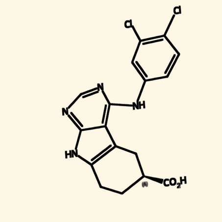 O=C(O)[C@H]1CCc2[nH]c3ncnc(Nc4ccc(Cl)c(Cl)c4)c3c2C1